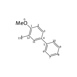 COc1ccc(-c2ccccc2)cc1I